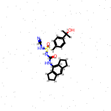 CC(C)(O)c1ccc(C[S@](=O)(=NC(=O)Nc2c3c(cc4c2CCC4)CCC3)NC#N)cc1